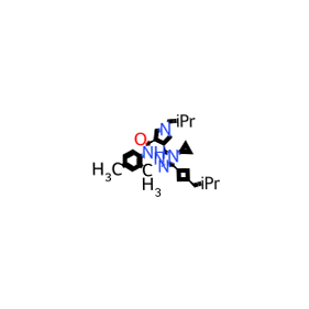 Cc1ccc(NC(=O)[C@H]2CN(CC(C)C)C[C@@H]2c2nnc([C@H]3C[C@@H](CC(C)C)C3)n2C2CC2)c(C)c1